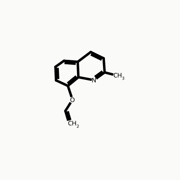 C=COc1cccc2ccc(C)nc12